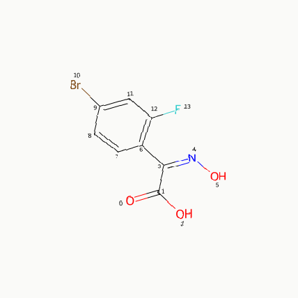 O=C(O)C(=NO)c1ccc(Br)cc1F